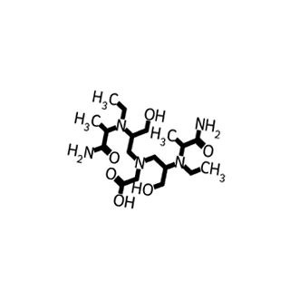 CCN(C(CO)CN(CC(=O)O)CC(CO)N(CC)C(C)C(N)=O)C(C)C(N)=O